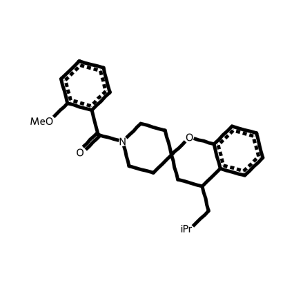 COc1ccccc1C(=O)N1CCC2(CC1)CC(CC(C)C)c1ccccc1O2